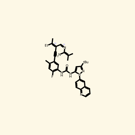 CC/C(C)=C(C#Cc1cc(NC(=O)Nc2cc(C(C)(C)C)nn2-c2ccc3ncccc3c2)c(F)cc1C)/C=N\C(N)=C(C)C